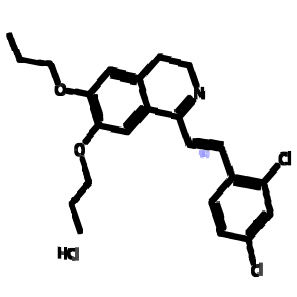 CCCOc1cc2c(cc1OCCC)C(/C=C/c1ccc(Cl)cc1Cl)=NCC2.Cl